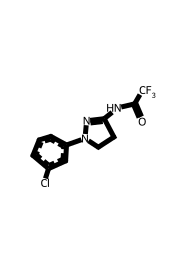 O=C(NC1=NN(c2cccc(Cl)c2)CC1)C(F)(F)F